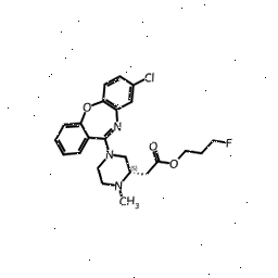 CN1CCN(C2=Nc3cc(Cl)ccc3Oc3ccccc32)C[C@@H]1CC(=O)OCCCF